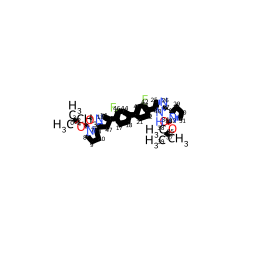 CC(C)(C)OC(=O)N1CCC[C@H]1C1=NC=C(c2ccc(-c3ccc(-c4cnc([C@@H]5CCCN5C(=O)OC(C)(C)C)[nH]4)c(F)c3)cc2F)C1